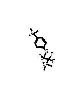 C[Si](C)(C)c1ccc(SC(F)(F)C(F)(F)[Si](C)(C)C)cc1